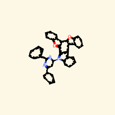 c1ccc(-c2cc(-n3c4ccccc4c4c5c6ccccc6oc5c5c6ccccc6oc5c43)nc(-c3ccccc3)n2)cc1